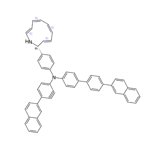 c1c(-c2ccc3ccccc3c2)ccc(N(c2ccc(-c3ccc(-c4ccc5ccccc5c4)cc3)cc2)c2ccc([C@H]3/C=C/C=C\C=C/C=C/N3)cc2)c#1